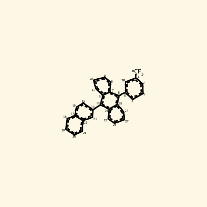 FC(F)(F)c1cccc(-c2c3ccccc3c(-c3ccc4ccccc4c3)c3ccccc23)c1